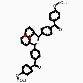 CCCCCCCCOc1ccc(C(=O)c2ccc(C(OC(c3ccccc3)c3ccc(C(=O)c4ccc(OCCCCCCCC)cc4)cc3)c3ccccc3)cc2)cc1